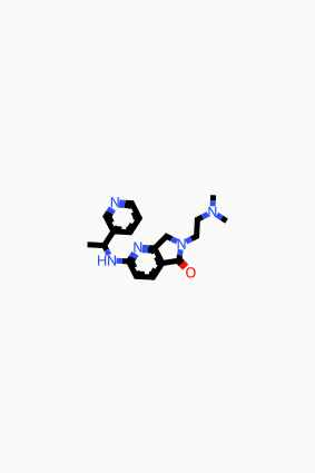 CC(Nc1ccc2c(n1)CN(CCN(C)C)C2=O)c1cccnc1